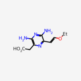 CCO/C=C/c1nc(CC(=O)O)c(N)nc1N